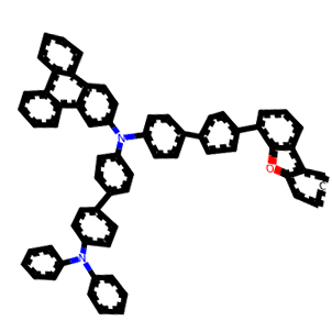 c1ccc(N(c2ccccc2)c2ccc(-c3ccc(N(c4ccc(-c5ccc(-c6cccc7c6oc6ccccc67)cc5)cc4)c4ccc5c6ccccc6c6ccccc6c5c4)cc3)cc2)cc1